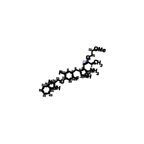 C=C/C(=C\c1c(Cc2cc(F)c(OCc3nc4ccccc4[nH]3)cc2F)c[nH]c1N)OCCOC